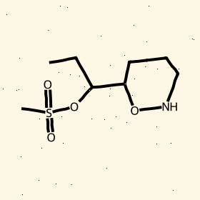 CCC(OS(C)(=O)=O)C1CCCNO1